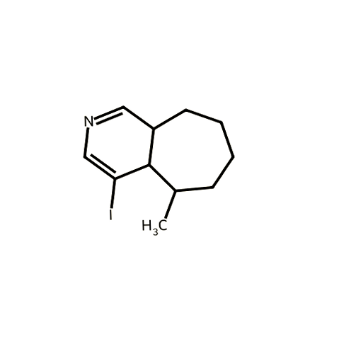 CC1CCCCC2C=NC=C(I)C12